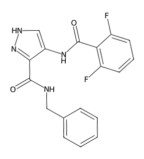 O=C(NCc1ccccc1)c1n[nH]cc1NC(=O)c1c(F)cccc1F